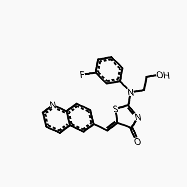 O=C1N=C(N(CCO)c2cccc(F)c2)S/C1=C\c1ccc2ncccc2c1